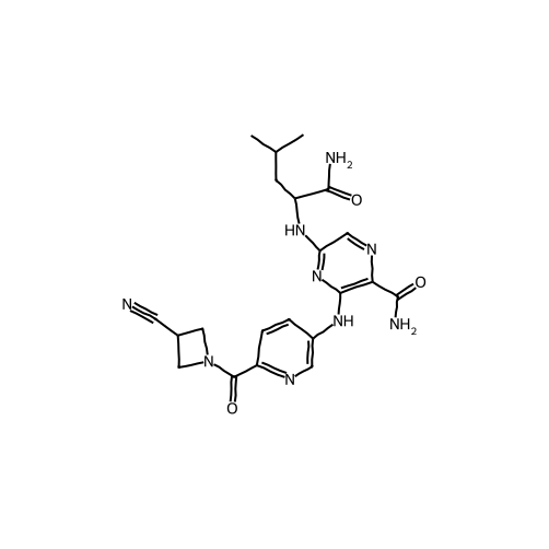 CC(C)CC(Nc1cnc(C(N)=O)c(Nc2ccc(C(=O)N3CC(C#N)C3)nc2)n1)C(N)=O